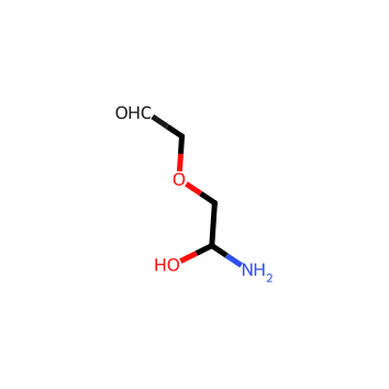 NC(O)COCC=O